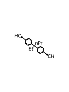 C#Cc1ccc(C(CC)(CC[CH2])c2ccc(C#C)cc2)cc1